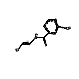 CC/C=C/NC(=O)c1cccc(C#N)c1